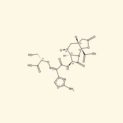 Nc1nc(/C(=N/O[C@@H](CO)C(=O)O)C(=O)N[C@@H]2C(=O)N3[C@@H]2[S@@+]([O-])C[C@@H]2CC(=O)O[C@@]23C(=O)O)cs1